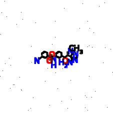 Cn1cc(C(=O)c2cccc(NS(=O)(=O)c3cccc(C#N)c3)c2)c2c(N)ncnc21